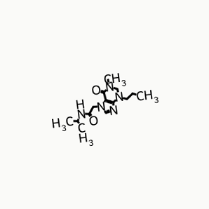 CCCN1CN(C)C(=O)c2c1ncn2CC(=O)NC(C)C